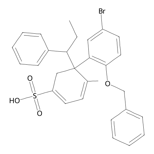 CCC(c1ccccc1)C1(c2cc(Br)ccc2OCc2ccccc2)CC(S(=O)(=O)O)=CC=C1C